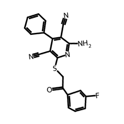 N#Cc1c(N)nc(SCC(=O)c2cccc(F)c2)c(C#N)c1-c1ccccc1